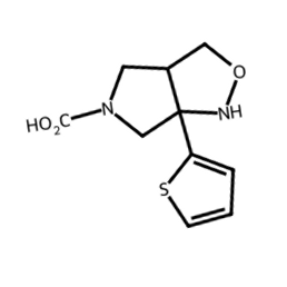 O=C(O)N1CC2CONC2(c2cccs2)C1